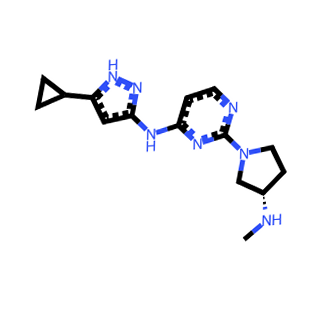 CN[C@H]1CCN(c2nccc(Nc3cc(C4CC4)[nH]n3)n2)C1